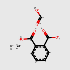 O=C([O-])c1ccccc1C(=O)O.O=C[O-].[K+].[Na+]